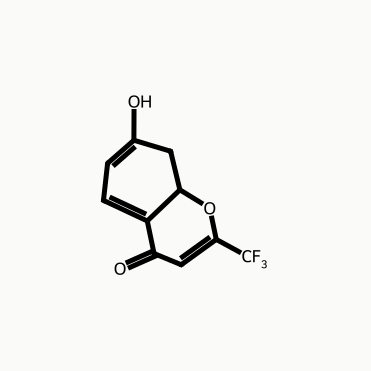 O=C1C=C(C(F)(F)F)OC2CC(O)=CC=C12